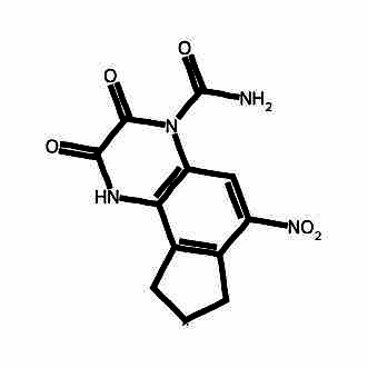 NC(=O)n1c(=O)c(=O)[nH]c2c3c(c([N+](=O)[O-])cc21)C[C]C3